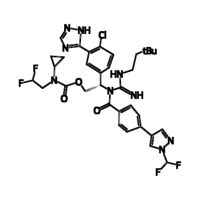 CC(C)(C)CCNC(=N)N(C(=O)c1ccc(-c2cnn(C(F)F)c2)cc1)[C@H](COC(=O)N(CC(F)F)C1CC1)c1ccc(Cl)c(-c2ncn[nH]2)c1